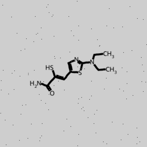 CCN(CC)c1ncc(/C=C(\S)C(N)=O)s1